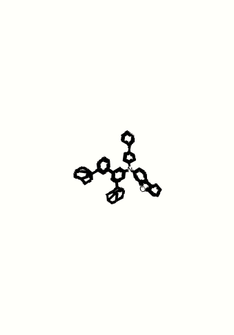 c1ccc(-c2ccc(N(c3cc(-c4cccc(C5C6CC7CC(C6)CC5C7)c4)cc(C4C5CC6CC(C5)CC4C6)c3)c3ccc4c(c3)oc3ccccc34)cc2)cc1